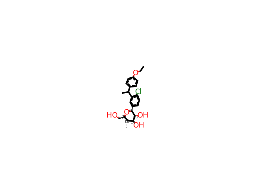 CCOc1ccc(C(C)c2cc([C@@H]3O[C@H](CO)[C@@H](C)[C@H](O)[C@H]3O)ccc2Cl)cc1